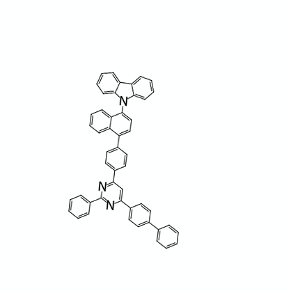 c1ccc(-c2ccc(-c3cc(-c4ccc(-c5ccc(-n6c7ccccc7c7ccccc76)c6ccccc56)cc4)nc(-c4ccccc4)n3)cc2)cc1